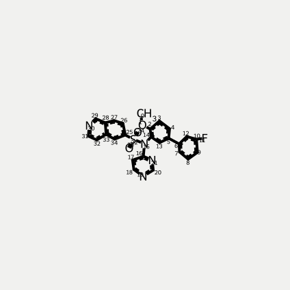 COc1ccc(-c2cccc(F)c2)cc1N(c1ccncn1)S(=O)(=O)c1ccc2cnccc2c1